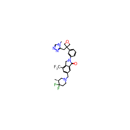 C[C@H]1CN(Cc2cc3c(c(C(F)(F)F)c2)CN(c2cccc(C4(Cc5nncn5C)COC4)c2)C3=O)CCC1(F)F